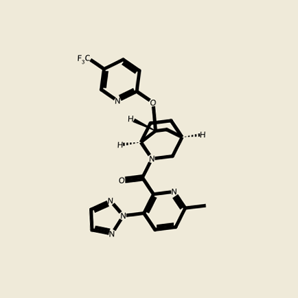 Cc1ccc(-n2nccn2)c(C(=O)N2C[C@@H]3CC[C@H]2[C@H](Oc2ccc(C(F)(F)F)cn2)C3)n1